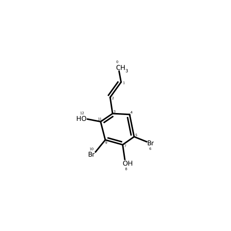 CC=Cc1cc(Br)c(O)c(Br)c1O